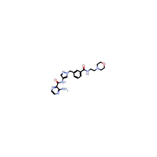 Nc1nccnc1C(=O)Nc1cnn(Cc2cccc(C(=O)NCCN3CCOCC3)c2)c1